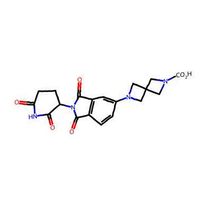 O=C1CCC(N2C(=O)c3ccc(N4CC5(CN(C(=O)O)C5)C4)cc3C2=O)C(=O)N1